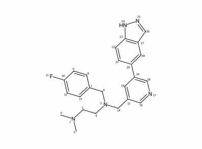 CN(C)CCN(Cc1ccc(F)cc1)Cc1cncc(-c2ccc3[nH]ncc3c2)c1